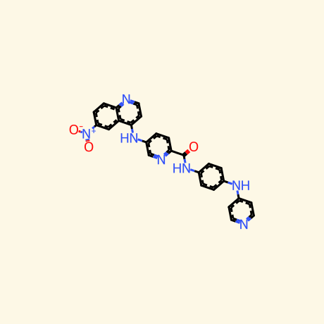 O=C(Nc1ccc(Nc2ccncc2)cc1)c1ccc(Nc2ccnc3ccc([N+](=O)[O-])cc23)cn1